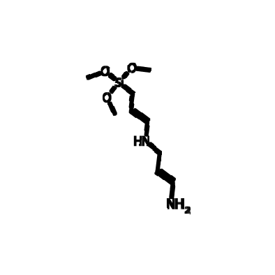 CO[Si](CC=CNCC=CN)(OC)OC